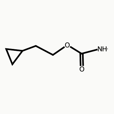 [NH]C(=O)OCCC1CC1